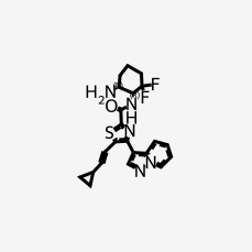 N[C@@H]1CCCC(F)(F)[C@@H]1NC(=O)c1nc(-c2cnn3ccccc23)c(C#CC2CC2)s1